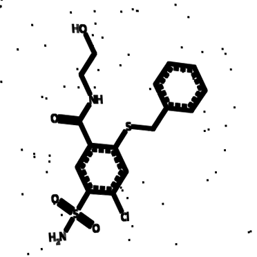 NS(=O)(=O)c1cc(C(=O)NCCO)c(SCc2ccccc2)cc1Cl